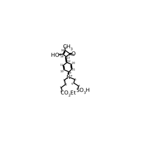 CCOC(=O)CCC[N+](CCCS(=O)(=O)O)=C1C=CC(=C2C(=O)C(C)=C2O)C=C1